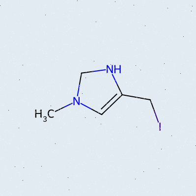 CN1C=C(CI)NC1